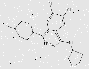 CN1CCN(c2nnc(NC3CCCC3)c3cc(Cl)c(Cl)cc23)CC1